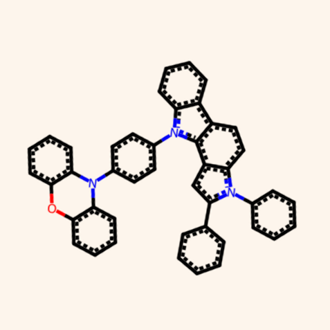 c1ccc(-c2cc3c(ccc4c5ccccc5n(-c5ccc(N6c7ccccc7Oc7ccccc76)cc5)c43)n2-c2ccccc2)cc1